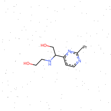 CC(C)c1nccc(C(CO)NCCO)n1